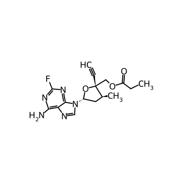 C#C[C@]1(COC(=O)CC)O[C@@H](n2cnc3c(N)nc(F)nc32)C[C@@H]1C